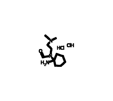 CN(C)CCN(C=O)C1(N)CCCCC1.Cl.Cl